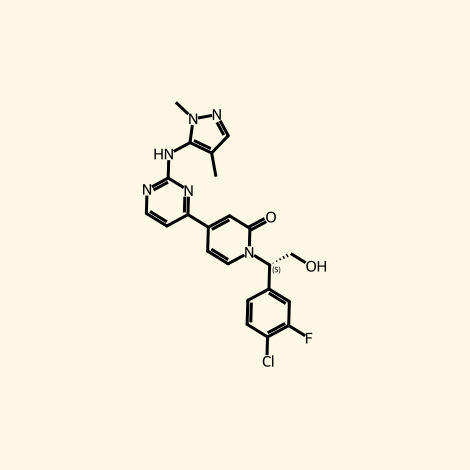 Cc1cnn(C)c1Nc1nccc(-c2ccn([C@H](CO)c3ccc(Cl)c(F)c3)c(=O)c2)n1